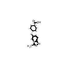 Cc1nnc2ccc(C[C@H]3CC[C@H](C(=O)O)CC3)cn12